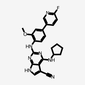 COc1cc(-c2ccc(F)nc2)ccc1Nc1nc(NC2CCCC2)c2c(C#N)c[nH]c2n1